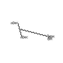 CCCCCCCCCCCCCCN(CCCCCCCCCCCCCC)CCCCCCCCCCCCCCCCCCOP(O)O